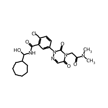 CN(C)C(=O)Cn1c(=O)cnn(-c2ccc(Cl)c(C(=O)NC(O)C3CCCCCC3)c2)c1=O